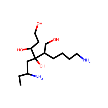 CCC(N)CC(O)(C(O)CCO)C(CO)CCCCN